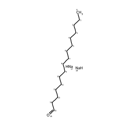 CCCCCCCCCCCCCCCC=O.[NaH].[NaH]